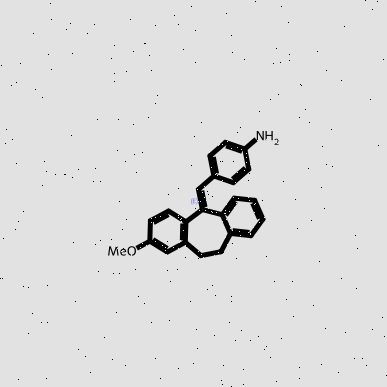 COc1ccc2c(c1)CCc1ccccc1/C2=C\c1ccc(N)cc1